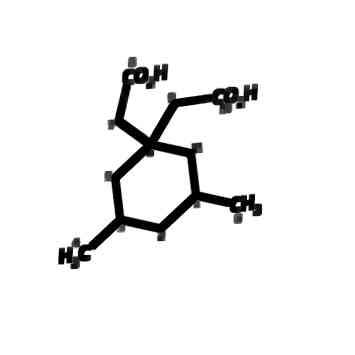 CC1CC(C)CC(CC(=O)O)(CC(=O)O)C1